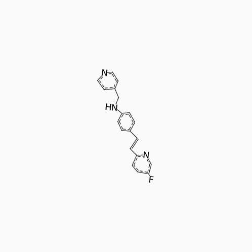 Fc1ccc(/C=C/c2ccc(NCc3ccncc3)cc2)nc1